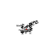 C=C[C@@H]1CC1(NC(=O)[C@@H]1CC(Oc2cc(-c3csc(NC(C)C)n3)nc3c(Cl)c(OCCN4CCOCC4)ccc23)CN1C(=O)[C@@H](NC(=O)O[C@@H]1C[C@@H]2C[C@@H]2C1)C(C)(C)C)C(=O)OC